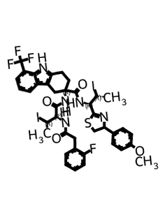 COc1ccc(C2CSC([C@@H](NC(=O)[C@@]3(NC(=O)[C@@H](NC(=O)Cc4ccccc4F)[C@@H](C)I)CCc4[nH]c5c(C(F)(F)F)cccc5c4C3)[C@@H](C)I)=N2)cc1